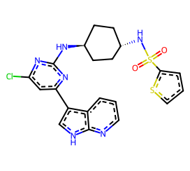 O=S(=O)(N[C@H]1CC[C@H](Nc2nc(Cl)cc(-c3c[nH]c4ncccc34)n2)CC1)c1cccs1